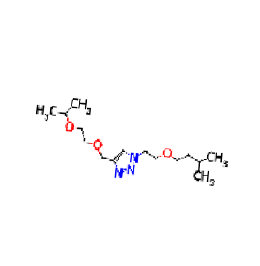 CC(C)CCOCCn1cc(COCCOC(C)C)nn1